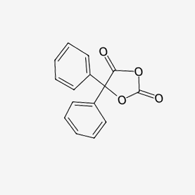 O=C1OC(=O)C(c2ccccc2)(c2ccccc2)O1